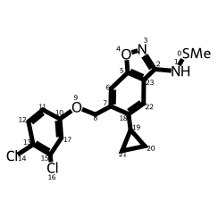 CSNc1noc2cc(COc3ccc(Cl)c(Cl)c3)c(C3CC3)cc12